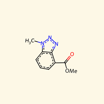 COC(=O)c1cccc2c1nnn2C